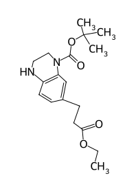 CCOC(=O)CCc1ccc2c(c1)N(C(=O)OC(C)(C)C)CCN2